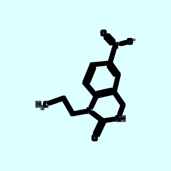 CCCN1C(=O)NCc2cc([N+](=O)[O-])ccc21